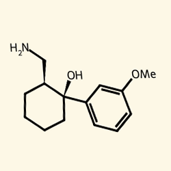 COc1cccc([C@]2(O)CCCC[C@H]2CN)c1